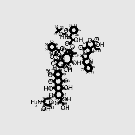 CC(=O)O[C@@]12CO[C@@H]1C[C@H](O)[C@@]1(C)C(=O)[C@H](O)C3=C(C)[C@@H](OC(=O)C(O)[C@@H](NC(=O)OC(C)(C)C)c4ccccc4)C[C@@](O)([C@@H](OC(=O)c4ccccc4)[C@H]21)C3(C)C.CC[C@@]1(O)C(=O)OCc2c1cc1n(c2=O)Cc2cc3ccccc3nc2-1.COc1cccc2c1C(=O)c1c(O)c3c(c(O)c1C2=O)C[C@@](O)(C(=O)CO)C[C@@H]3O[C@H]1C[C@H](N)[C@H](O)[C@H](C)O1